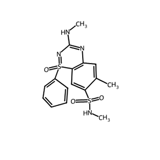 CNC1=Nc2cc(C)c(S(=O)(=O)NC)cc2S(=O)(c2ccccc2)=N1